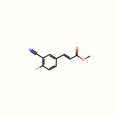 COC(=O)C=Cc1ccc(F)c(C#N)c1